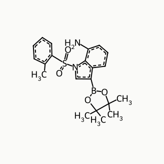 Cc1ccccc1S(=O)(=O)n1cc(B2OC(C)(C)C(C)(C)O2)c2cccc(N)c21